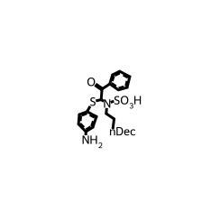 CCCCCCCCCCCCN(C(Sc1ccc(N)cc1)C(=O)c1ccccc1)S(=O)(=O)O